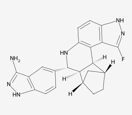 Nc1n[nH]c2ccc([C@@H]3Nc4ccc5[nH]nc(F)c5c4[C@H]4[C@@H]5CC[C@@H](C5)[C@H]43)cc12